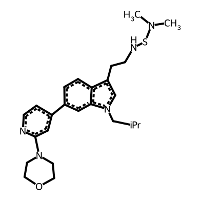 CC(C)Cn1cc(CCNSN(C)C)c2ccc(-c3ccnc(N4CCOCC4)c3)cc21